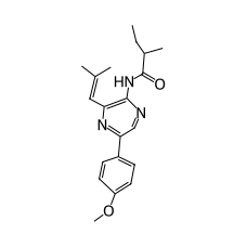 CCC(C)C(=O)Nc1ncc(-c2ccc(OC)cc2)nc1C=C(C)C